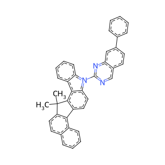 CC1(C)c2ccc3ccccc3c2-c2ccc3c(c21)c1ccccc1n3-c1ncc2ccc(-c3ccccc3)cc2n1